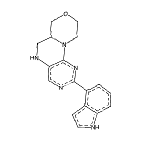 c1cc(-c2ncc3c(n2)N2CCOCC2CN3)c2cc[nH]c2c1